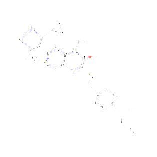 COc1ncnc(C2CC2)c1-c1ncc2nc(NCc3ccc([S+]([O-])CC#N)cc3)c(=O)n(C(C)C)c2n1